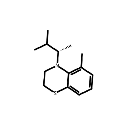 Cc1cccc2c1N([C@@H](C)C(C)C)CCS2